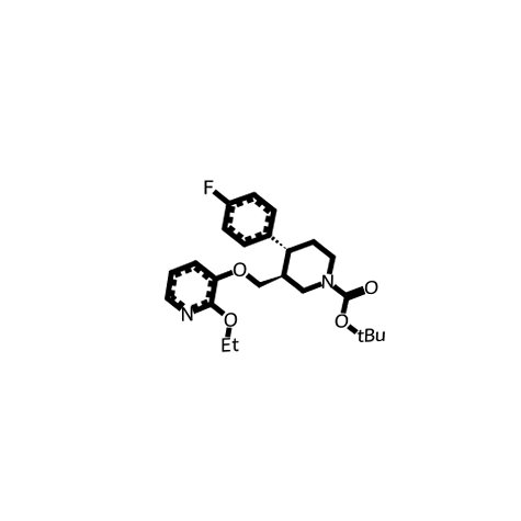 CCOc1ncccc1OC[C@@H]1CN(C(=O)OC(C)(C)C)CC[C@H]1c1ccc(F)cc1